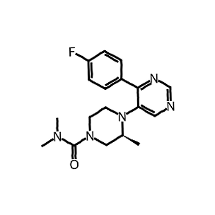 C[C@H]1CN(C(=O)N(C)C)CCN1c1cncnc1-c1ccc(F)cc1